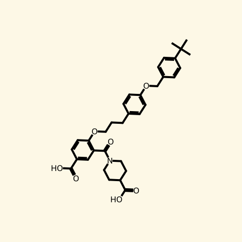 CC(C)(C)c1ccc(COc2ccc(CCCOc3ccc(C(=O)O)cc3C(=O)N3CCC(C(=O)O)CC3)cc2)cc1